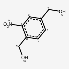 O=[N+]([O-])c1cc(CO)ccc1CO